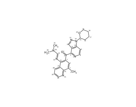 Cc1cc(C(=O)c2nccc3c2cnn3C2CCCCO2)c(N=CN(C)C)c2cccnc12